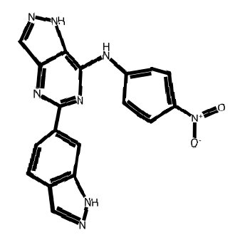 O=[N+]([O-])c1ccc(Nc2nc(-c3ccc4cn[nH]c4c3)nc3cn[nH]c23)cc1